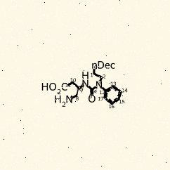 CCCCCCCCCCCCN(C(=O)N[C@@H](CN)CC(=O)O)c1ccccc1